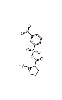 CN1CCC[C@@H]1C(=O)OS(=O)(=O)c1cccc([N+](=O)[O-])c1